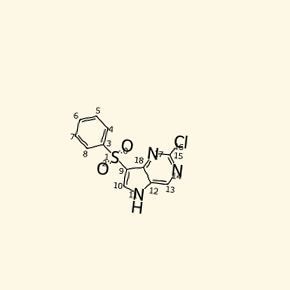 O=S(=O)(c1ccccc1)c1c[nH]c2cnc(Cl)nc12